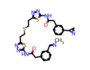 C/N=C/c1cccc(CC(=O)Nc2nnc(CCSCCc3nnc(NC(=O)Cc4cccc(C5C=N5)c4)s3)s2)c1